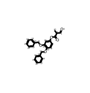 O=CC(I)C(=O)Oc1ccc(OCc2ccccc2)c(OCc2ccccc2)c1